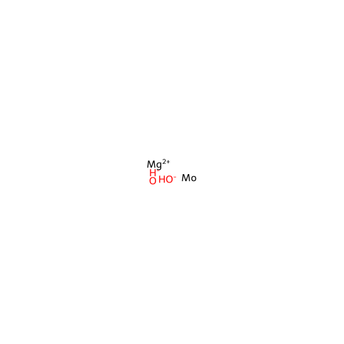 [Mg+2].[Mo].[OH-].[OH-]